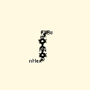 CCCCCCOc1ccc(-c2ncc(-c3ccc(OCC(F)C(C)CC)cc3)cn2)cc1